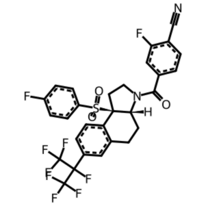 N#Cc1ccc(C(=O)N2CC[C@@]3(S(=O)(=O)c4ccc(F)cc4)c4ccc(C(F)(C(F)(F)F)C(F)(F)F)cc4CC[C@@H]23)cc1F